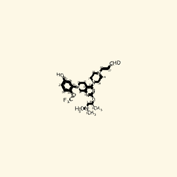 C[C@H](CN(C)C)Oc1nc2c(c(N3CCN(C=CC=O)CC3)n1)CCN(c1cc(O)ccc1OC(F)(F)F)C2